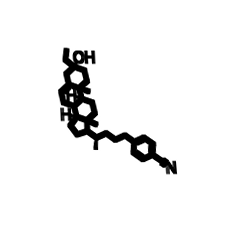 CC[C@]1(O)CCC2(C)C(=CCC3[C@@H]2CCC2(C)C([C@H](C)CCCc4ccc(C#N)cc4)CC[C@@H]32)C1